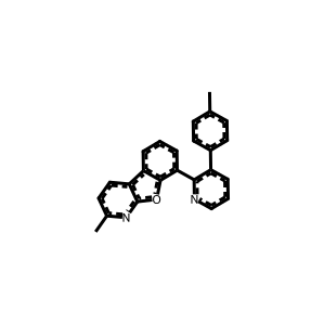 Cc1ccc(-c2cccnc2-c2cccc3c2oc2nc(C)ccc23)cc1